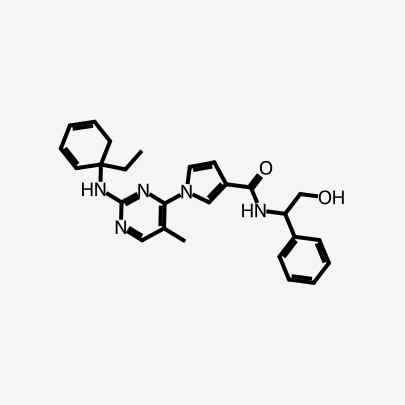 CCC1(Nc2ncc(C)c(-n3ccc(C(=O)NC(CO)c4ccccc4)c3)n2)C=CC=CC1